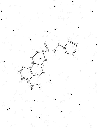 O=C(OCc1ccccc1)N1CCN2c3cccc4[nH]cc(c34)CC2C1